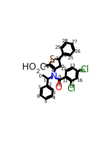 CC(c1ccccc1)N(C(=O)c1ccc(Cl)cc1Cl)C1=C(C(=O)O)SC(c2ccccc2)C1